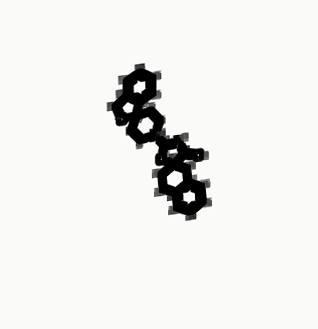 O=C1N=C(N2CCC3(CC2)OCc2ccccc23)OC12CCc1ccccc1C2